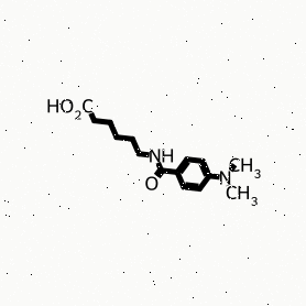 CN(C)c1ccc(C(=O)NCCCCCC(=O)O)cc1